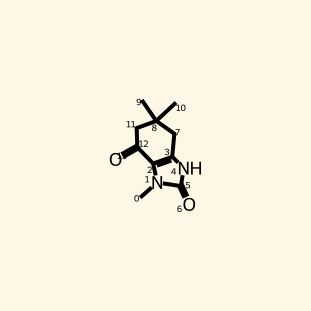 Cn1c2c([nH]c1=O)CC(C)(C)CC2=O